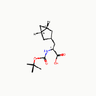 CC(C)(C)OC(=O)N[C@@H](CC1C[C@@H]2C[C@@H]2C1)C(=O)O